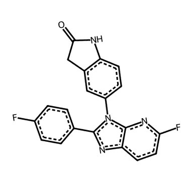 O=C1Cc2cc(-n3c(-c4ccc(F)cc4)nc4ccc(F)nc43)ccc2N1